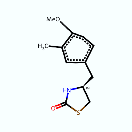 COc1ccc(C[C@H]2CSC(=O)N2)cc1C